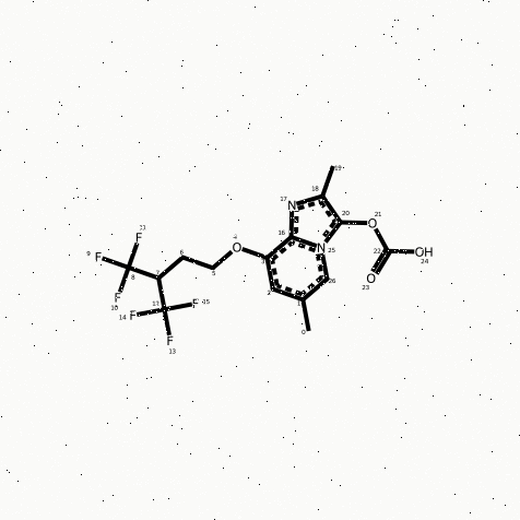 Cc1cc(OCCC(C(F)(F)F)C(F)(F)F)c2nc(C)c(OC(=O)O)n2c1